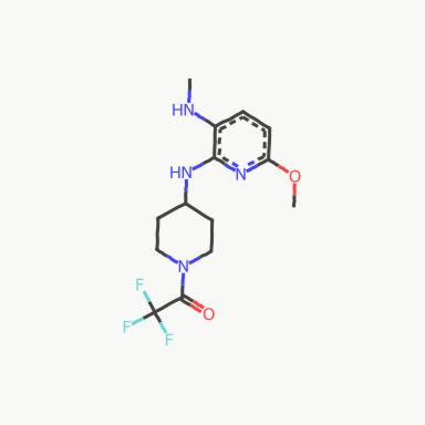 CNc1ccc(OC)nc1NC1CCN(C(=O)C(F)(F)F)CC1